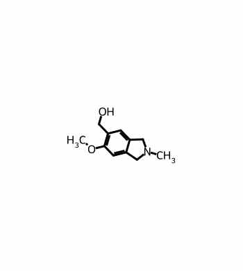 COc1cc2c(cc1CO)CN(C)C2